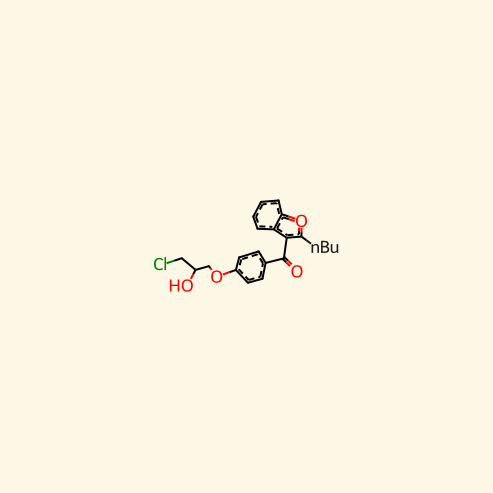 CCCCc1oc2ccccc2c1C(=O)c1ccc(OCC(O)CCl)cc1